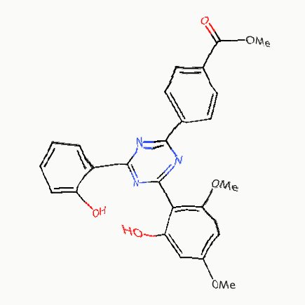 COC(=O)c1ccc(-c2nc(-c3ccccc3O)nc(-c3c(O)cc(OC)cc3OC)n2)cc1